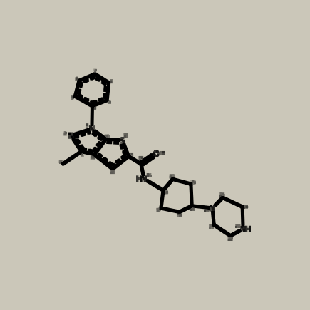 Cc1nn(-c2ccccc2)c2sc(C(=O)NC3CCC(N4CCNCC4)CC3)cc12